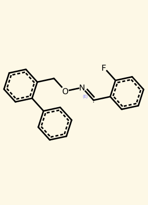 Fc1ccccc1/[C]=N/OCc1ccccc1-c1ccccc1